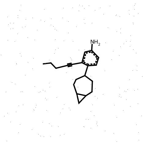 CCCC#Cc1cc(N)ccc1C1CCC2CC2CC1